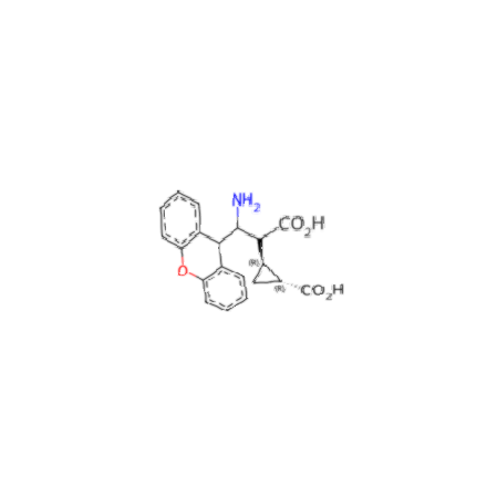 NC(C1c2ccccc2Oc2ccccc21)C(C(=O)O)[C@@H]1C[C@H]1C(=O)O